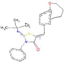 CC(C)(C)/N=C1\S/C(=C\c2ccc3c(c2)CCCO3)C(=O)N1c1ccccc1